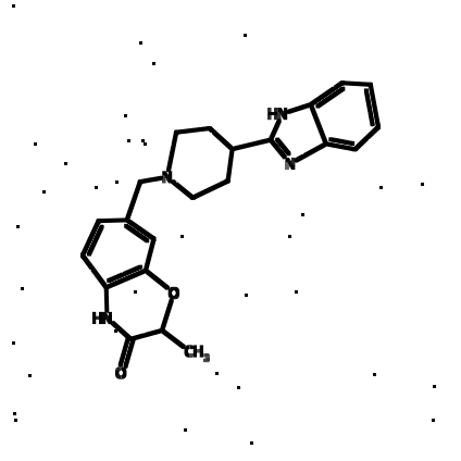 CC1Oc2cc(CN3CCC(c4nc5ccccc5[nH]4)CC3)ccc2NC1=O